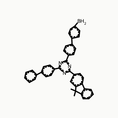 Bc1ccc(-c2ccc(-c3nc(-c4ccc(-c5ccccc5)cc4)nc(-c4ccc5c(c4)C(C)(C)c4ccccc4-5)n3)cc2)cc1